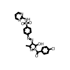 CC1=NN(C(=O)c2ccc(Cl)cc2)C(O)C1/N=N/c1ccc(S(=O)(=O)Nc2ncccn2)cc1